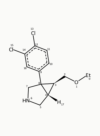 CCOC[C@H]1[C@@H]2CNCC21c1ccc(Cl)c(Cl)c1